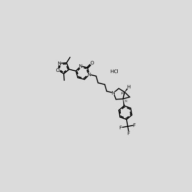 Cc1noc(C)c1-c1ccn(CCCCN2C[C@@H]3C[C@]3(c3ccc(C(F)(F)F)cc3)C2)c(=O)n1.Cl